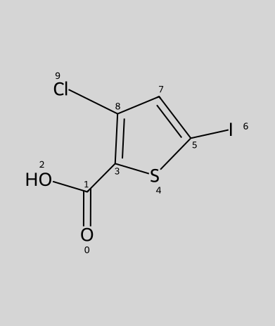 O=C(O)c1sc(I)cc1Cl